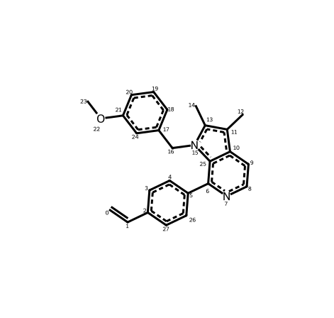 C=Cc1ccc(-c2nccc3c(C)c(C)n(Cc4cccc(OC)c4)c23)cc1